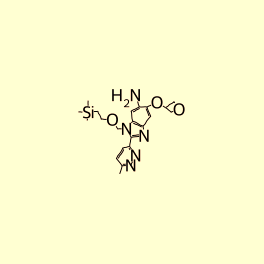 Cc1ccc(-c2nc3cc(OC4COC4)c(N)cc3n2COCC[Si](C)(C)C)nn1